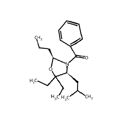 CCC[C@@H]1OC(CC)(CC)[C@H](CC(C)C)N1C(=O)c1ccccc1